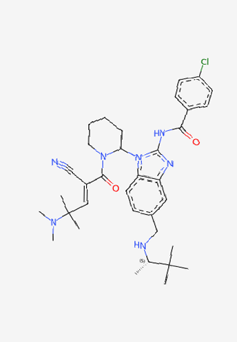 C[C@H](NCc1ccc2c(c1)nc(NC(=O)c1ccc(Cl)cc1)n2C1CCCCN1C(=O)C(C#N)=CC(C)(C)N(C)C)C(C)(C)C